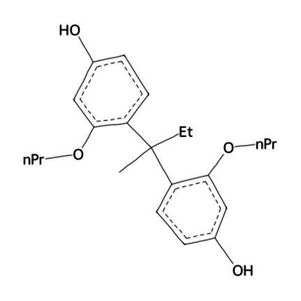 CCCOc1cc(O)ccc1C(C)(CC)c1ccc(O)cc1OCCC